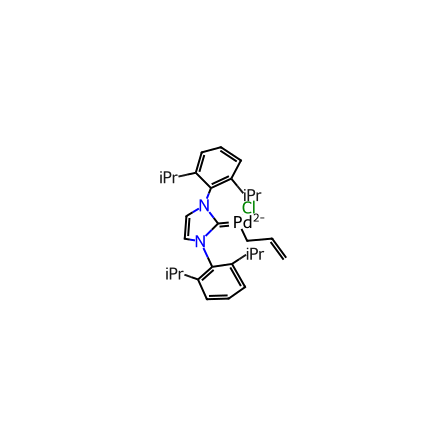 C=C[CH2][Pd-2]([Cl])=[c]1n(-c2c(C(C)C)cccc2C(C)C)ccn1-c1c(C(C)C)cccc1C(C)C